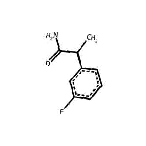 CC(C(N)=O)c1cccc(F)c1